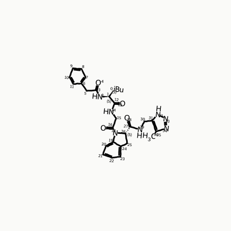 CC[C@H](C)[C@H](NC(=O)Cc1ccccc1)C(=O)NCC(=O)N1c2ccccc2C[C@H]1C(=O)NCc1[nH]nnc1C